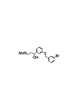 CNCCC(O)c1cccc(SCc2cccc(Br)c2)c1